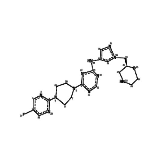 Fc1cnc(N2CCN(c3ncnc(Nc4cnn(C[C@@H]5CNCCO5)c4)n3)CC2)nc1